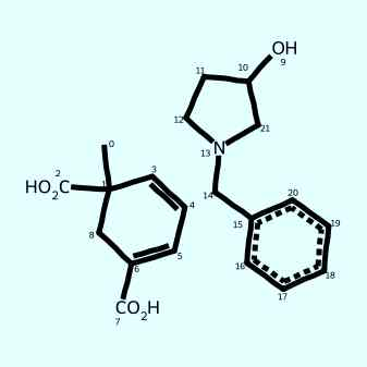 CC1(C(=O)O)C=CC=C(C(=O)O)C1.OC1CCN(Cc2ccccc2)C1